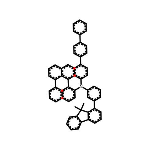 CC1(C)c2ccccc2-c2cccc(-c3cccc(N(c4ccc(-c5ccc(-c6ccccc6)cc5)cc4)c4ccccc4-c4cccc5cccc(-c6ccccc6)c45)c3)c21